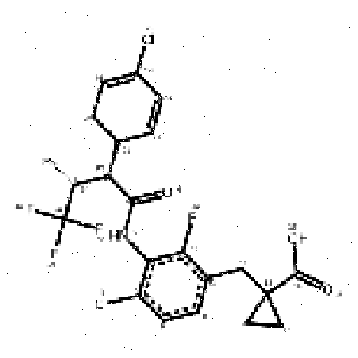 C[C@H]([C@H](C(=O)Nc1c(Cl)ccc(CC2(C(=O)O)CC2)c1F)C1C=CC(Cl)=CC1)C(F)(F)F